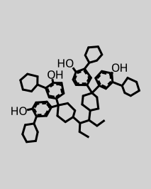 CCC(C1CCC(c2ccc(O)c(C3CCCCC3)c2)(c2ccc(O)c(C3CCCCC3)c2)CC1)C(CC)C1CCC(c2ccc(O)c(C3CCCCC3)c2)(c2ccc(O)c(C3CCCCC3)c2)CC1